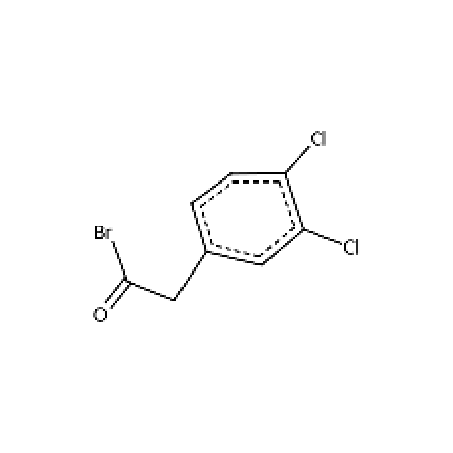 O=C(Br)Cc1ccc(Cl)c(Cl)c1